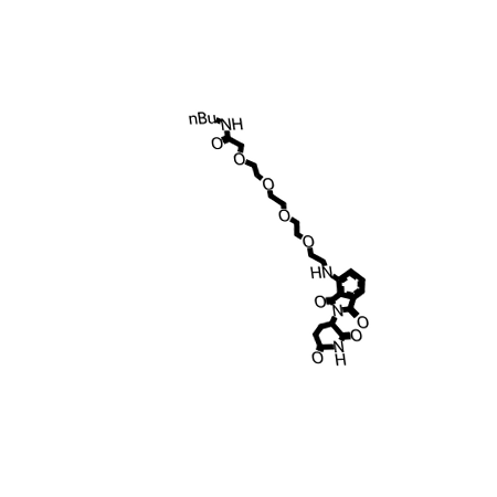 CCCCNC(=O)COCCOCCOCCOCCNc1cccc2c1C(=O)N(C1CCC(=O)NC1=O)C2=O